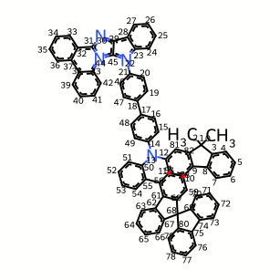 CC1(C)c2ccccc2-c2ccc(N(c3ccc(-c4ccc(-n5c6ccccc6c6nc7c8ccccc8c8ccccc8n7c65)cc4)cc3)c3ccccc3-c3cccc4c3-c3ccccc3C43c4ccccc4-c4ccccc43)cc21